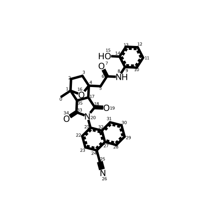 CC12CCC(CC(=O)Nc3ccccc3O)(O1)C1C(=O)N(c3ccc(C#N)c4ccccc34)C(=O)C12